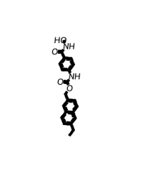 CCc1ccc2cc(COC(=O)Nc3ccc(C(=O)NO)cc3)ccc2c1